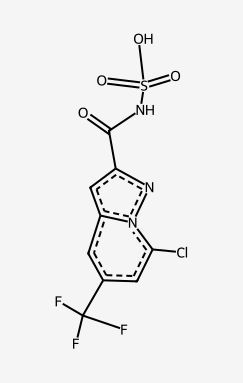 O=C(NS(=O)(=O)O)c1cc2cc(C(F)(F)F)cc(Cl)n2n1